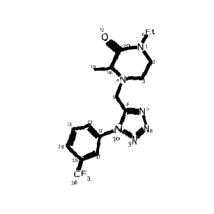 CCN1CCN(Cc2nnnn2-c2cccc(C(F)(F)F)c2)C(C)C1=O